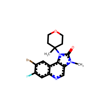 Cn1c(=O)n(C2(C)CCOCC2)c2c3cc(Br)c(F)cc3ncc21